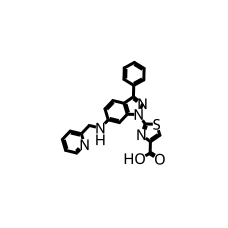 O=C(O)c1csc(-n2nc(-c3ccccc3)c3ccc(NCc4ccccn4)cc32)n1